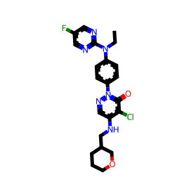 CCN(c1ccc(-n2ncc(NCC3CCCOC3)c(Cl)c2=O)cc1)c1ncc(F)cn1